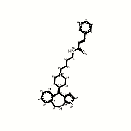 O=C(C=Cc1cccnc1)NCCCCN1CCC(=C2c3ccccc3CSc3sccc32)CC1